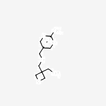 CCC1(COCC23COC(C)(OC2)OC3)COC1